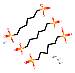 O=P([O-])([O-])CCCCCCP(=O)([O-])[O-].O=P([O-])([O-])CCCCCCP(=O)([O-])[O-].O=P([O-])([O-])CCCCCCP(=O)([O-])[O-].[Al+3].[Al+3].[Al+3].[Al+3]